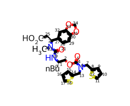 CCCC[C@@H](COC(=O)N(Cc1cccs1)Cc1cccs1)NC(=O)N(C)[C@@H](CC(=O)O)c1ccc2c(c1)OCO2